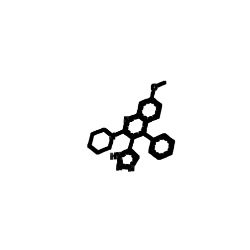 COc1ccc2c(-c3ccccc3)c(-c3cnn[nH]3)c(N3CCCCC3)nc2c1